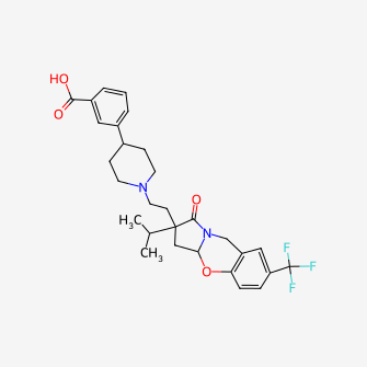 CC(C)C1(CCN2CCC(c3cccc(C(=O)O)c3)CC2)CC2Oc3ccc(C(F)(F)F)cc3CN2C1=O